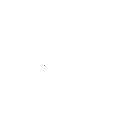 CC(C)c1nc2c(c(I)c1C(O)c1ccc(C(C)(C)C)cc1)[C@H](O[Si](C)(C)C(C)(C)C)CC1(CCC1)C2